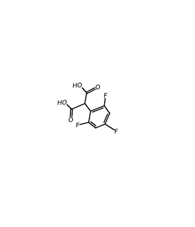 O=C(O)C(C(=O)O)c1c(F)cc(F)cc1F